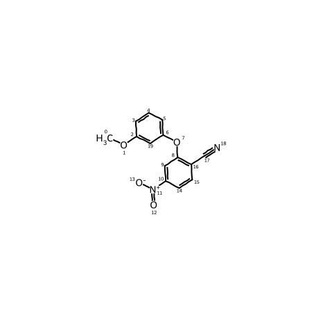 COc1cccc(Oc2cc([N+](=O)[O-])ccc2C#N)c1